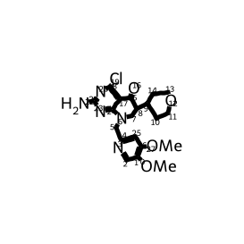 COc1cnc(CN2CC(C3CCOCC3)C(=O)c3c(Cl)nc(N)nc32)cc1OC